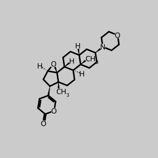 C[C@]12CC[C@H](N3CCOCC3)C[C@H]1CC[C@@H]1[C@@H]2CC[C@]2(C)[C@@H](c3ccc(=O)oc3)C[C@H]3O[C@]132